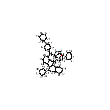 c1ccc(-c2ccc(N(c3ccc(-c4ccccc4)cc3)c3cccc4c5c(-c6ccccc6)cc6ccccc6c5n(-c5ccccc5)c34)cc2)cc1